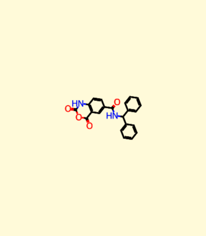 O=C(NC(c1ccccc1)c1ccccc1)c1ccc2[nH]c(=O)oc(=O)c2c1